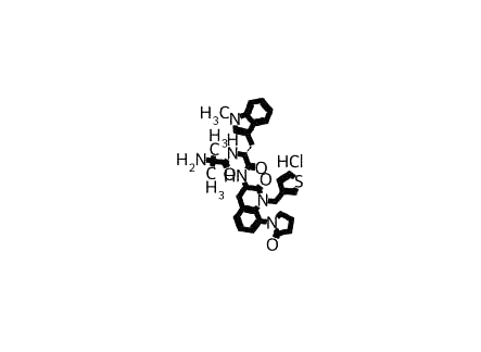 Cl.Cn1cc(C[C@@H](NC(=O)C(C)(C)N)C(=O)NC2Cc3cccc(N4CCCC4=O)c3N(Cc3ccsc3)C2=O)c2ccccc21